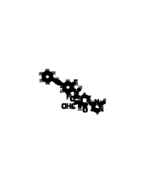 Cc1nccc(N2CCN(C(=O)N(C)c3c(F)cc(C#Cc4ccccc4)cc3F)C(C)(CC=O)C2=O)n1